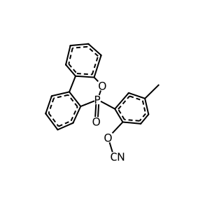 Cc1ccc(OC#N)c(P2(=O)Oc3ccccc3-c3ccccc32)c1